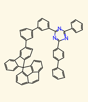 c1ccc(-c2ccc(-c3nc(-c4ccccc4)nc(-c4cccc(-c5cccc(-c6ccc7c(c6)-c6ccccc6C76c7cccc8ccc9cccc6c9c78)c5)c4)n3)cc2)cc1